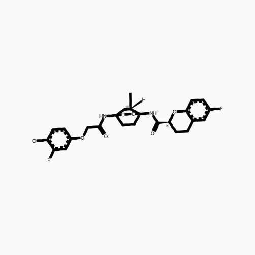 C[C@H]1CC2(NC(=O)COc3ccc(Cl)c(F)c3)CCC1(NC(=O)[C@@H]1CCc3cc(F)ccc3O1)CC2